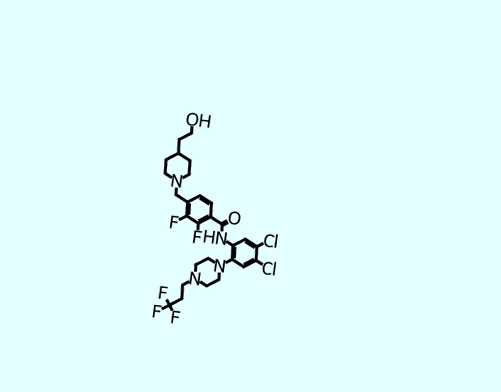 O=C(Nc1cc(Cl)c(Cl)cc1N1CCN(CCC(F)(F)F)CC1)c1ccc(CN2CCC(CCO)CC2)c(F)c1F